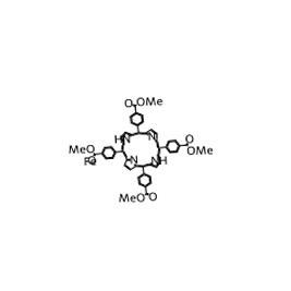 COC(=O)c1ccc(-c2c3nc(c(-c4ccc(C(=O)OC)cc4)c4ccc([nH]4)c(-c4ccc(C(=O)OC)cc4)c4nc(c(-c5ccc(C(=O)OC)cc5)c5ccc2[nH]5)C=C4)C=C3)cc1.[Fe]